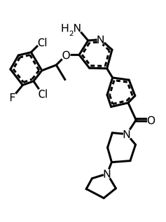 CC(Oc1cc(-c2ccc(C(=O)N3CCC(N4CCCC4)CC3)cc2)cnc1N)c1c(Cl)ccc(F)c1Cl